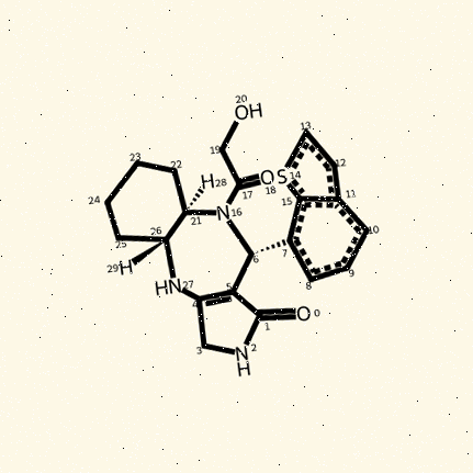 O=C1NCC2=C1[C@@H](c1cccc3ccsc13)N(C(=O)CO)[C@@H]1CCCC[C@H]1N2